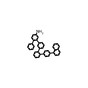 Nc1ccc(-c2ccccc2)c(-c2cccc(-c3ccccc3-c3ccc(-c4cccc5ccccc45)cc3)c2)c1